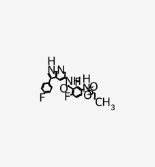 CCCS(=O)(=O)Nc1ccc(F)c(C(=O)Nc2cnc3[nH]cc(-c4ccc(F)cc4)c3c2)c1F